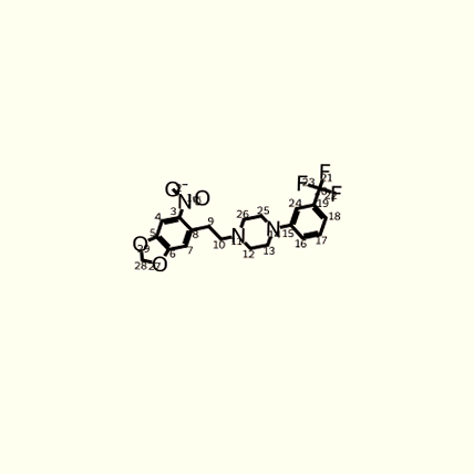 O=[N+]([O-])c1cc2c(cc1CCN1CCN(c3cccc(C(F)(F)F)c3)CC1)OCO2